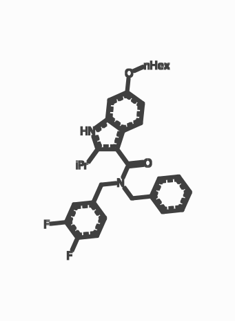 CCCCCCOc1ccc2c(C(=O)N(Cc3ccccc3)Cc3ccc(F)c(F)c3)c(C(C)C)[nH]c2c1